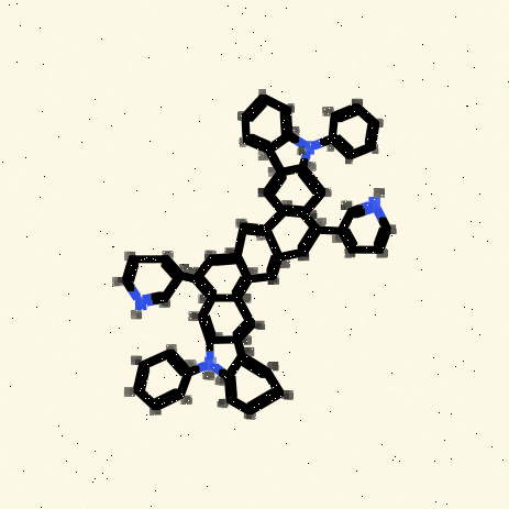 c1ccc(-n2c3ccccc3c3cc4c(cc32)c(-c2cccnc2)cc2cc3c(cc(-c5cccnc5)c5cc6c(cc53)c3ccccc3n6-c3ccccc3)cc24)cc1